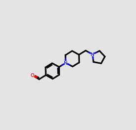 O=Cc1ccc(N2CCC(CN3CCCC3)CC2)cc1